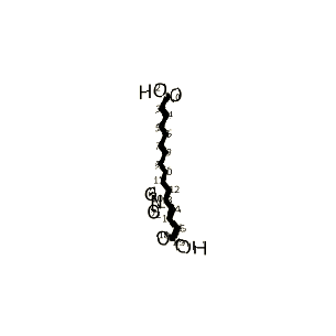 O=C(O)CCCCCCCCCCC(CCCC(=O)O)[N+](=O)[O-]